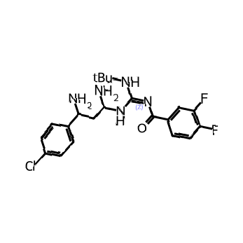 CC(C)(C)N/C(=N/C(=O)c1ccc(F)c(F)c1)NC(N)CC(N)c1ccc(Cl)cc1